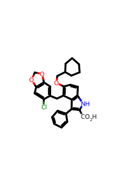 O=C(O)c1[nH]c2ccc(OCC3CCCCC3)c(Cc3cc4c(cc3Cl)OCO4)c2c1-c1ccccc1